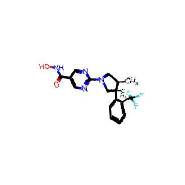 C[C@@H]1CN(c2ncc(C(=O)NO)cn2)C[C@@]1(C)c1ccccc1C(F)(F)F